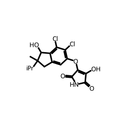 CC(C)C1(C)Cc2cc(OC3=C(O)C(=O)NC3=O)c(Cl)c(Cl)c2C1O